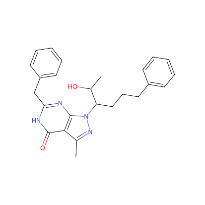 Cc1nn(C(CCCc2ccccc2)C(C)O)c2nc(Cc3ccccc3)[nH]c(=O)c12